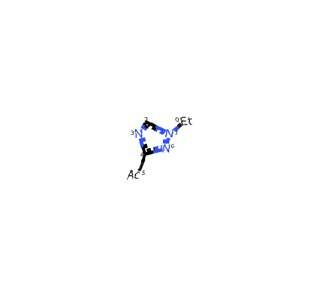 CCn1cnc(C(C)=O)n1